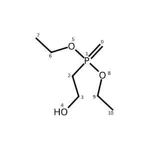 C=P(CCO)(OCC)OCC